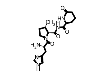 C[C@H]1CCN(C(=O)[C@@H](N)Cc2c[nH]cn2)[C@@H]1C(=O)NC(=O)C1CCCC(=O)N1